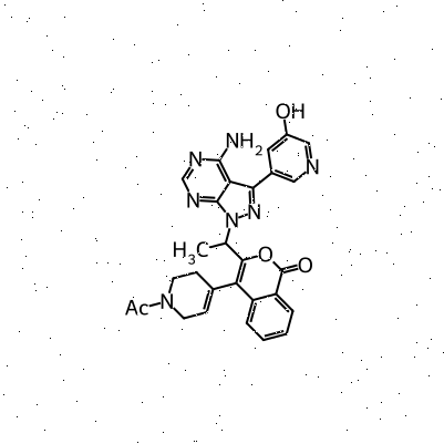 CC(=O)N1CC=C(c2c(C(C)n3nc(-c4cncc(O)c4)c4c(N)ncnc43)oc(=O)c3ccccc23)CC1